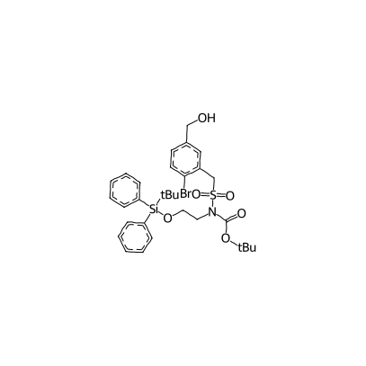 CC(C)(C)OC(=O)N(CCO[Si](c1ccccc1)(c1ccccc1)C(C)(C)C)S(=O)(=O)Cc1cc(CO)ccc1Br